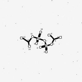 O=S(=O)(OC(Cl)Cl)OS(=O)(=O)OC(Cl)Cl